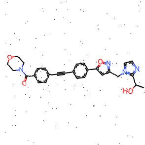 CC(O)c1nccn1Cc1cc(-c2ccc(C#Cc3ccc(C(=O)N4CCOCC4)cc3)cc2)on1